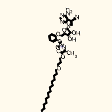 CCCCCCCCCCCCCCCCOCCCOC(=O)[C@@H](C)/N=[P+](\[O-])Oc1ccccc1OCC1O[C@@H](n2cc(C#N)c3c(N)ncnc32)[C@H](O)[C@@H]1O